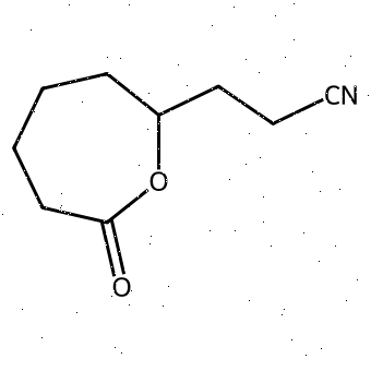 N#CCCC1CCCCC(=O)O1